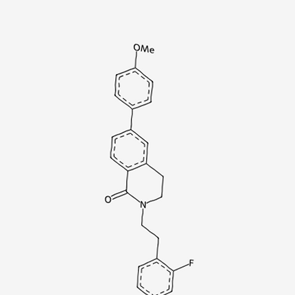 COc1ccc(-c2ccc3c(c2)CCN(CCc2ccccc2F)C3=O)cc1